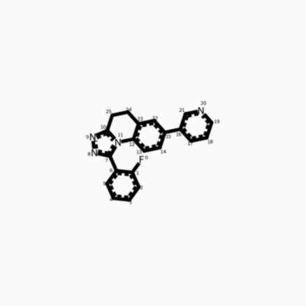 Fc1ccccc1-c1nnc2n1-c1ccc(-c3cccnc3)cc1CC2